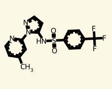 Cc1ccnc(-n2nccc2NS(=O)(=O)c2ccc(C(F)(F)F)cc2)c1